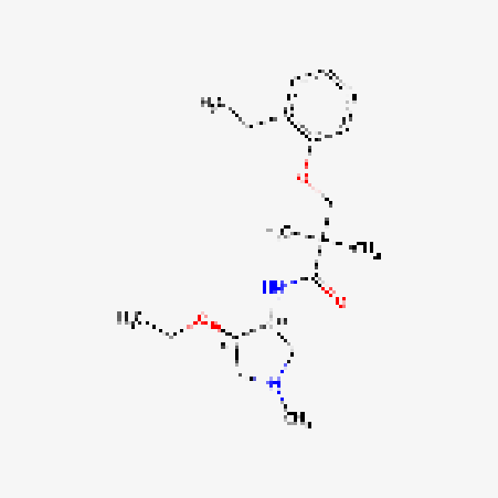 CCO[C@@H]1CN(C)C[C@H]1NC(=O)C(C)(C)COc1ccccc1CC